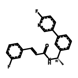 C[C@H](NC(=O)C=Cc1cccc(F)c1)c1cccc(-c2ccc(F)nc2)c1